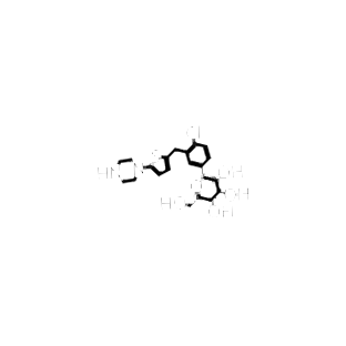 OC[C@H]1O[C@@H](c2ccc(Cl)c(Cc3ccc(N4CCNCC4)s3)c2)[C@H](O)[C@@H](O)[C@@H]1O